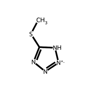 CSC1=NN=[N+]N1